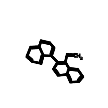 C=Cc1c(-c2cccc3ccccc23)ccc2ccccc12